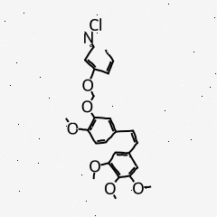 C\C=C/C(=C\C=N\Cl)OCOc1cc(/C=C\c2cc(OC)c(OC)c(OC)c2)ccc1OC